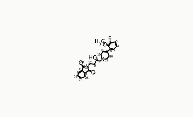 COc1c(F)cccc1C1=CCN(C[C@H](O)CCN2C(=O)c3ccccc3C2=O)CC1